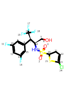 O=S(=O)(N[C@H](CO)[C@@H](c1cc(F)cc(F)c1)C(F)(F)F)C1CC=C(Cl)S1